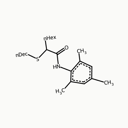 CCCCCCCCCCSC(CCCCCC)C(=O)Nc1c(C)cc(C)cc1C